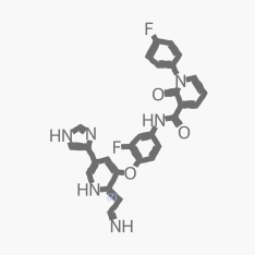 N=C/C=C1\NC=C(c2c[nH]cn2)C=C1Oc1ccc(NC(=O)c2cccn(-c3ccc(F)cc3)c2=O)cc1F